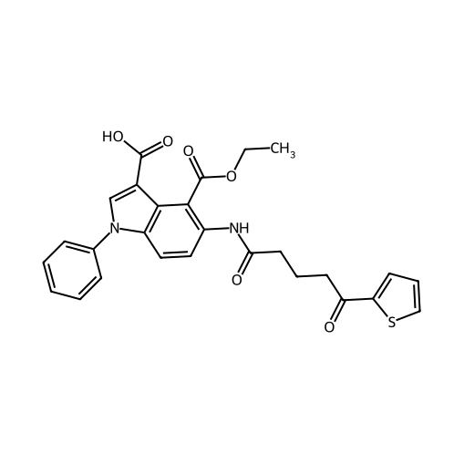 CCOC(=O)c1c(NC(=O)CCCC(=O)c2cccs2)ccc2c1c(C(=O)O)cn2-c1ccccc1